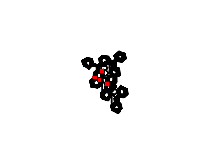 c1ccc(C2c3ccccc3B3c4c2cccc4N(c2ccccc2)c2ccc4cc5c(cc4c23)N(c2ccccc2)c2cccc3c2B5c2ccccc2N3c2ccccc2)cc1